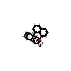 COC(=O)c1cccc2cccc(C34C5C=CC(C5)C3C3CCC4C3)c12